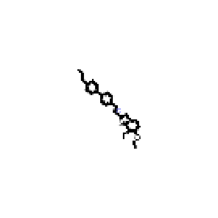 CCCc1ccc(-c2ccc(/C=C/c3cc4ccc(OCC)c(F)c4s3)cc2)cc1